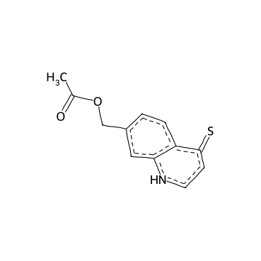 CC(=O)OCc1ccc2c(=S)cc[nH]c2c1